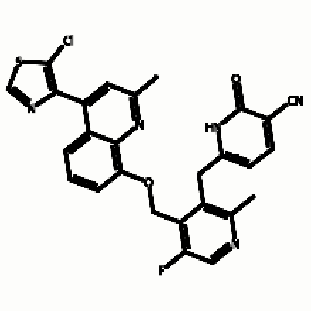 Cc1cc(-c2ncsc2Cl)c2cccc(OCc3c(F)cnc(C)c3Cc3ccc(C#N)c(=O)[nH]3)c2n1